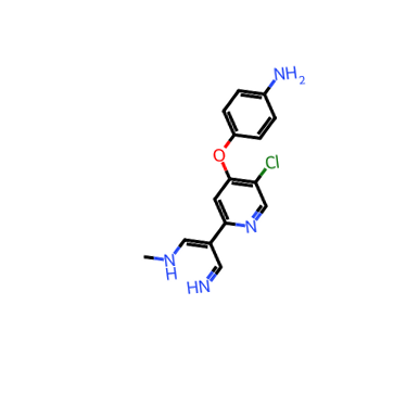 CN/C=C(\C=N)c1cc(Oc2ccc(N)cc2)c(Cl)cn1